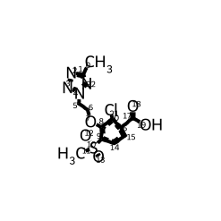 Cc1nnn(CCOc2c(S(C)(=O)=O)ccc(C(=O)O)c2Cl)n1